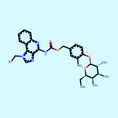 CC(=O)OC[C@H]1O[C@@H](Oc2ccc(COC(=O)Nc3nc4ccccc4c4c3ncn4CC(C)C)cc2[N+](=O)[O-])[C@H](OC(C)=O)[C@@H](OC(C)=O)[C@H]1OC(C)=O